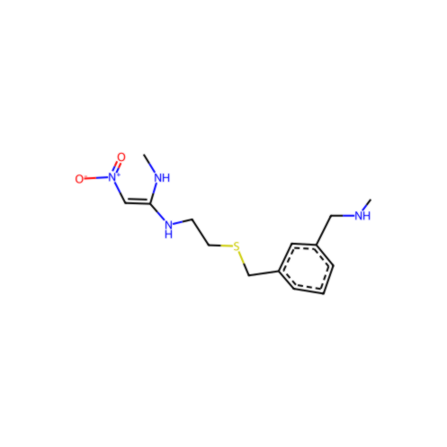 CNCc1cccc(CSCCNC(=C[N+](=O)[O-])NC)c1